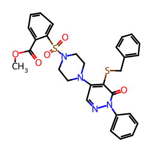 COC(=O)c1ccccc1S(=O)(=O)N1CCN(c2cnn(-c3ccccc3)c(=O)c2SCc2ccccc2)CC1